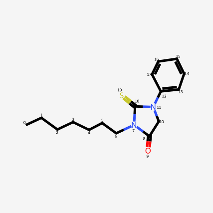 CCCCCCCN1C(=O)CN(c2ccccc2)C1=S